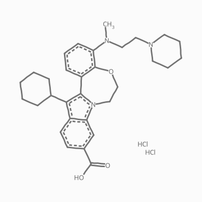 CN(CCN1CCCCC1)c1cccc2c1OCCn1c-2c(C2CCCCC2)c2ccc(C(=O)O)cc21.Cl.Cl